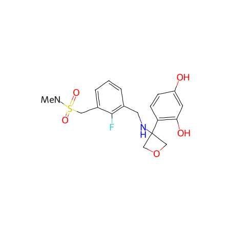 CNS(=O)(=O)Cc1cccc(CNC2(c3ccc(O)cc3O)COC2)c1F